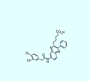 O=C(O)CCCCc1nc2cc(NC(=O)Cc3ccc(Cl)c(Cl)c3)ccc2nc1-c1ccccc1